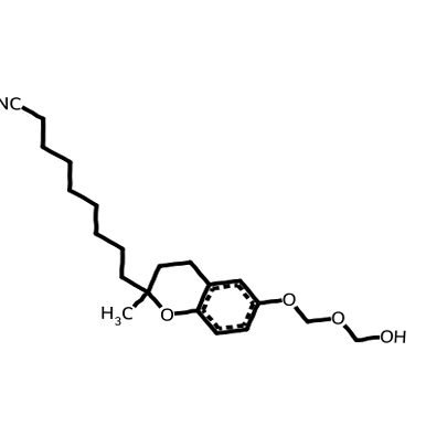 CC1(CCCCCCCCC#N)CCc2cc(OCOCO)ccc2O1